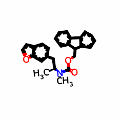 C[C@@H](Cc1ccc2ccoc2c1)N(C)C(=O)OCC1c2ccccc2-c2ccccc21